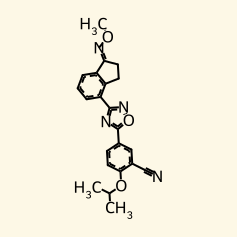 CON=C1CCc2c1cccc2-c1noc(-c2ccc(OC(C)C)c(C#N)c2)n1